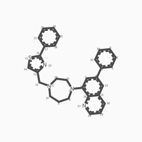 c1ccc(-c2cc(N3CCCN(Cc4csc(-c5ccccc5)n4)CC3)c3ncccc3c2)cc1